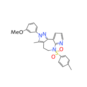 COc1cccc(-n2nc3c(c2C)CCN(S(=O)(=O)c2ccc(C)cc2)c2ncccc2-3)c1